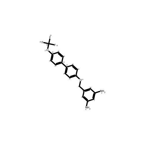 Nc1cc(N)cc(COc2ccc(-c3ccc(OC(F)(F)F)cc3)cc2)c1